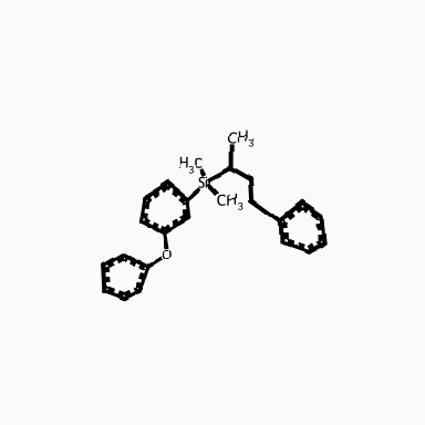 CC(CCc1ccccc1)[Si](C)(C)c1cccc(Oc2ccccc2)c1